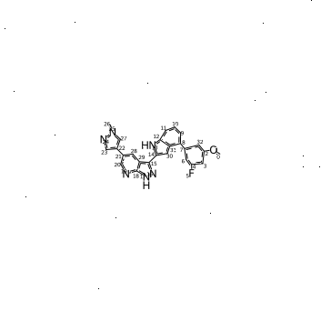 COc1cc(F)cc(-c2cccc3[nH]c(-c4n[nH]c5ncc(-c6cnn(C)c6)cc45)cc23)c1